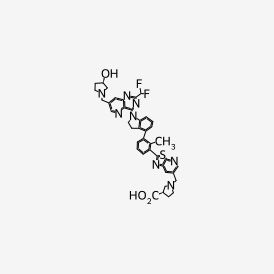 Cc1c(-c2nc3cc(CN4CC[C@@H](C(=O)O)C4)cnc3s2)cccc1-c1cccc2c1CCN2c1nc(C(F)F)nc2cc(CN3CC[C@@H](O)C3)cnc12